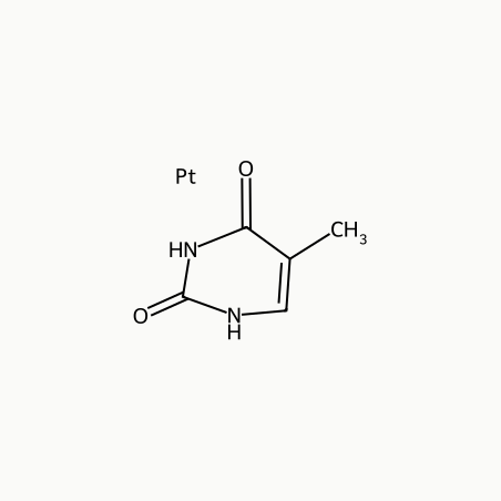 Cc1c[nH]c(=O)[nH]c1=O.[Pt]